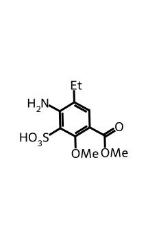 CCc1cc(C(=O)OC)c(OC)c(S(=O)(=O)O)c1N